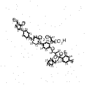 CCC(C)n1ncn(-c2ccc(N3CCN(c4ccc(OC[C@H]5CO[C@](Cn6cncn6)(c6ccc(F)cc6F)O5)cc4)CC3)cc2)c1=O.O=C(O)/C=C/C(=O)O